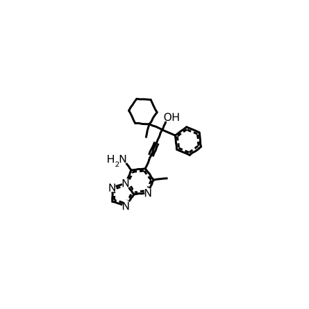 Cc1nc2ncnn2c(N)c1C#CC(O)(c1ccccc1)C1(C)CCCCC1